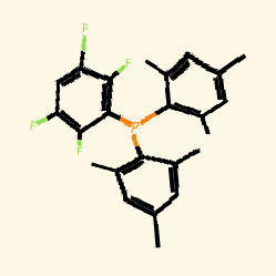 Cc1cc(C)c(P(c2c(C)cc(C)cc2C)c2c(F)c(F)[c]c(F)c2F)c(C)c1